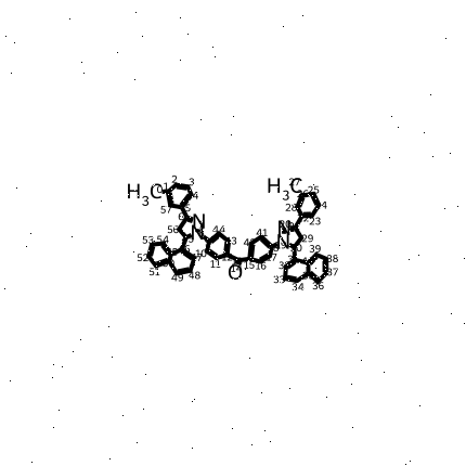 Cc1cccc(C2=NN(c3ccc(C(=O)c4ccc(N5N=C(c6cccc(C)c6)CC5c5cccc6ccccc56)cc4)cc3)C(c3cccc4ccccc34)C2)c1